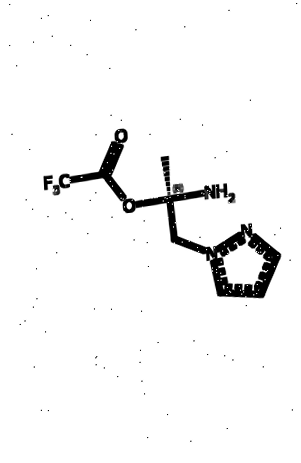 C[C@](N)(Cn1cccn1)OC(=O)C(F)(F)F